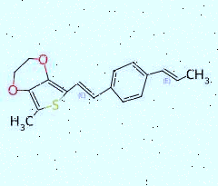 C/C=C/c1ccc(/C=C/c2sc(C)c3c2OCCO3)cc1